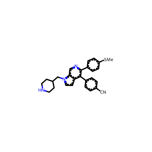 CSc1ccc(-c2ncc3c(ccn3CC3CCNCC3)c2-c2ccc(C#N)cc2)cc1